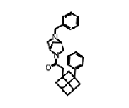 O=C(CC12CC3CC4CC(c5ccccc5)(C1)C342)N1CC2CC1CN2Cc1ccccc1